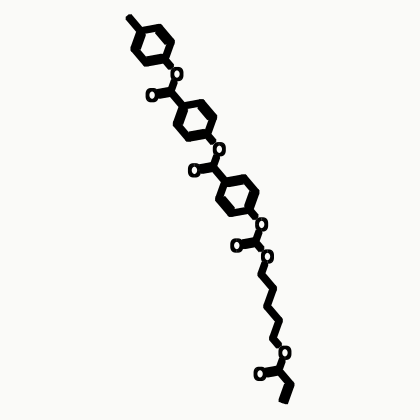 C=CC(=O)OCCCCCOC(=O)Oc1ccc(C(=O)Oc2ccc(C(=O)Oc3ccc(C)cc3)cc2)cc1